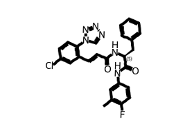 Cc1cc(NC(=O)[C@H](Cc2ccccc2)NC(=O)C=Cc2cc(Cl)ccc2-n2cnnn2)ccc1F